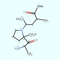 CCOC(=O)C(CC(C)C(=O)NC)N1CCCC1(C(=O)O)C(=O)C(C)N